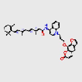 CC1=C(/C=C/C(C)=C/C=C/C(C)=C/C(=O)NC2=CC=[N+](CCCOc3c4occc4cc4ccc(=O)oc34)C3C=CC=CC23)C(C)(C)CCC1